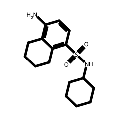 Nc1ccc(S(=O)(=O)NC2CCCCC2)c2c1CCCC2